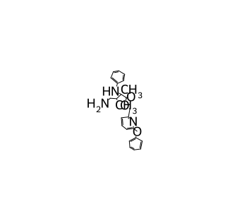 CC(CN)C(C)(Nc1ccccc1)C(=O)OCc1cccc(Oc2ccccc2)n1